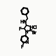 Cl.Fc1ccc(N2C(F)C(NCc3ccccc3)C[C@@H]2Br)cn1